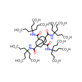 O=C(O)CCC(CCC(=O)O)(CCC(=O)O)NC(=O)C12CC3(C(=O)NC(CCC(=O)O)(CCC(=O)O)CCC(=O)O)CC(C(=O)NC(CCC(=O)O)(CCC(=O)O)CCC(=O)O)(C1)CC(C(=O)NC(CCC(=O)O)(CCC(=O)O)CCC(=O)O)(C2)C3